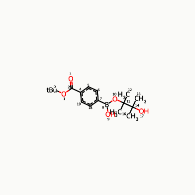 CC(C)(C)OC(=O)c1ccc(B(O)OC(C)(C)C(C)(C)O)cc1